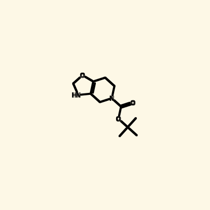 CC(C)(C)OC(=O)N1CCC2=C(C1)NCO2